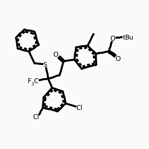 Cc1cc(C(=O)CC(SCc2ccccc2)(c2cc(Cl)cc(Cl)c2)C(F)(F)F)ccc1C(=O)OC(C)(C)C